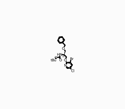 CC(C)(C)OC(=O)N[C@@H](COCc1ccccc1)COc1ncc(Cl)cc1Br